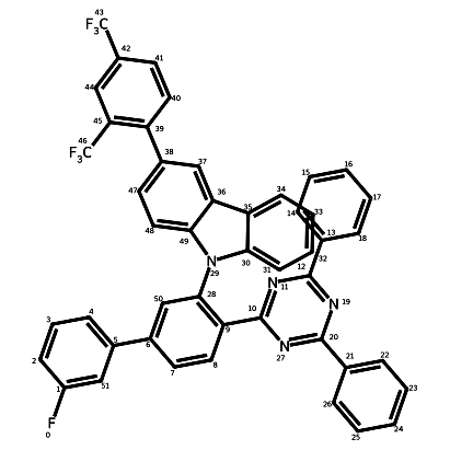 Fc1cccc(-c2ccc(-c3nc(-c4ccccc4)nc(-c4ccccc4)n3)c(-n3c4ccccc4c4cc(-c5ccc(C(F)(F)F)cc5C(F)(F)F)ccc43)c2)c1